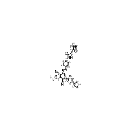 CCc1c(C#N)c(SCc2ccc(CNC(=O)COC(=O)C(F)(F)F)cc2)nc(N2CCC(N3CCCC3)CC2)c1C#N